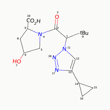 CC(C)(C)C(C(=O)N1CC(O)CC1C(=O)O)n1cc(C2CC2)nn1